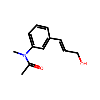 CC(=O)N(C)c1cccc(/C=C/CO)c1